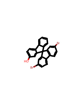 Oc1ccc2c(c1)C1(c3ccccc3-2)c2cc(Br)ccc2-c2ccc(Br)cc21